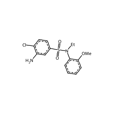 CCN(c1ccccc1OC)S(=O)(=O)c1ccc(Cl)c(N)c1